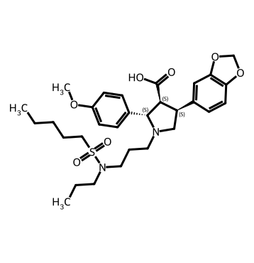 CCCCCS(=O)(=O)N(CCC)CCCN1C[C@H](c2ccc3c(c2)OCO3)[C@H](C(=O)O)[C@H]1c1ccc(OC)cc1